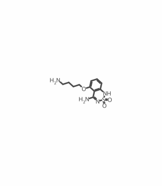 NCCCCOc1cccc2c1C(N)=NS(=O)(=O)N2